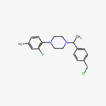 CC(c1ccc(CCl)cc1)N1CCN(c2ccc(C#N)cc2F)CC1